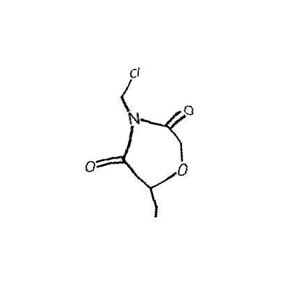 CC1OC(=O)N(CCl)C1=O